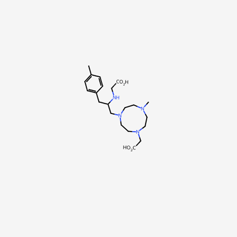 Cc1ccc(CC(CN2CCN(C)CCN(CC(=O)O)CC2)NCC(=O)O)cc1